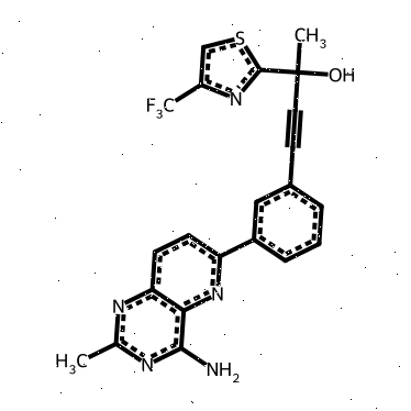 Cc1nc(N)c2nc(-c3cccc(C#CC(C)(O)c4nc(C(F)(F)F)cs4)c3)ccc2n1